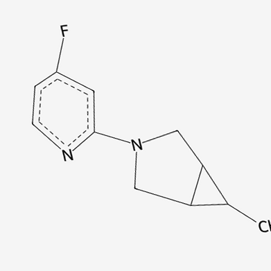 CC1C2CN(c3cc(F)ccn3)CC12